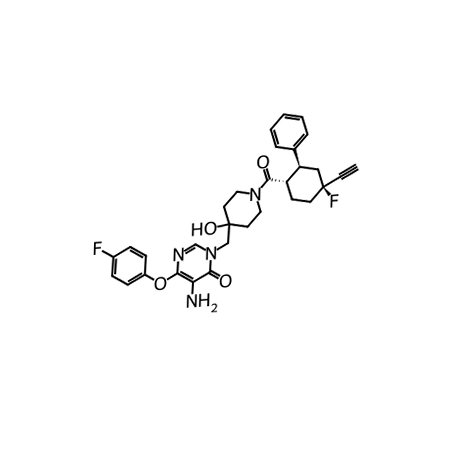 C#C[C@]1(F)CC[C@H](C(=O)N2CCC(O)(Cn3cnc(Oc4ccc(F)cc4)c(N)c3=O)CC2)[C@@H](c2ccccc2)C1